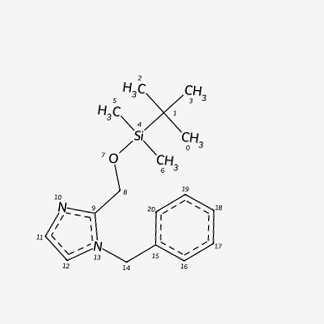 CC(C)(C)[Si](C)(C)OCc1nccn1Cc1ccccc1